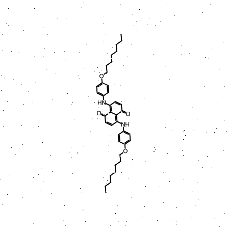 CCCCCCCCOc1ccc(NC2=C3C(=O)C=CC(Nc4ccc(OCCCCCCCC)cc4)=C3C(=O)C=C2)cc1